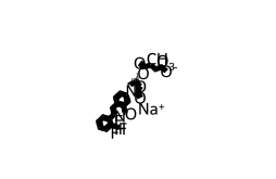 CC(CC(=O)[O-])C(=O)OC[C@H]1CN(c2ccc3cc(-c4ccccc4C(F)(F)F)[nH]c(=O)c3c2)C(=O)O1.[Na+]